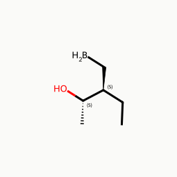 BC[C@@H](CC)[C@H](C)O